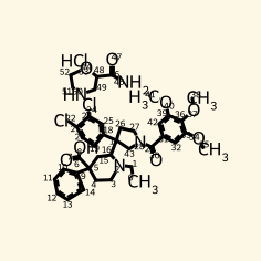 CCN1CCC(C(=O)O)(c2ccccc2)CC1C1(c2ccc(Cl)c(Cl)c2)CCN(C(=O)c2cc(OC)c(OC)c(OC)c2)C1.Cl.NC(=O)C1CNCCO1